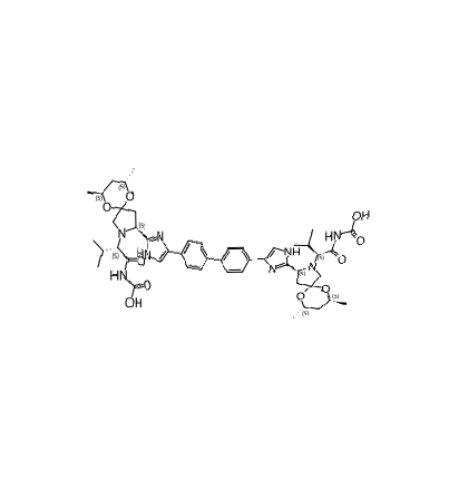 CC(C)[C@@H](C(=O)NC(=O)O)N1CC2(C[C@H]1c1nc(-c3ccc(-c4ccc(-c5c[nH]c([C@@H]6CC7(CN6[C@H](C(=O)NC(=O)O)C(C)C)O[C@@H](C)C[C@H](C)O7)n5)cc4)cc3)c[nH]1)O[C@@H](C)C[C@H](C)O2